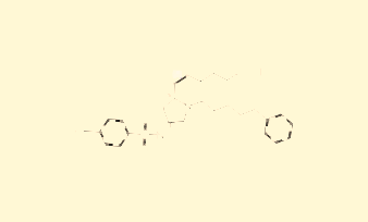 O=C(O)CCC/C=C\[C@@H]1C[C@@H](NS(=O)(=O)c2ccc(Cl)cc2)CN1CCCCCc1ccccc1